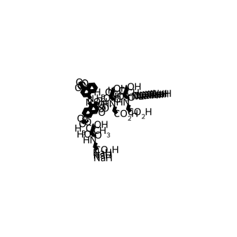 CC(C)(CO)[C@@H](O)C(=O)NCCC(=O)O.CC(C)(CO)[C@@H](O)C(=O)NCCC(=O)O.CC(C)(CO)[C@@H](O)C(=O)NCCC(=O)O.O=S(=O)([O-])c1ccc2c(N=Nc3ccc(S(=O)(=O)[O-])c4ccccc34)c(O)c(S(=O)(=O)[O-])cc2c1.[Na+].[Na+].[Na+].[NaH].[NaH].[NaH].[NaH].[NaH].[NaH].[NaH].[NaH].[NaH]